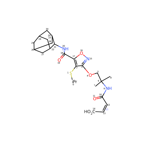 CC(C)Sc1c(OCC(C)(C)NC(=O)/C=C\C(=O)O)noc1C(=O)NC1C2CC3CC(C2)CC1C3